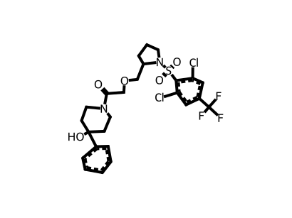 O=C(COCC1CCCN1S(=O)(=O)c1c(Cl)cc(C(F)(F)F)cc1Cl)N1CCC(O)(c2ccccc2)CC1